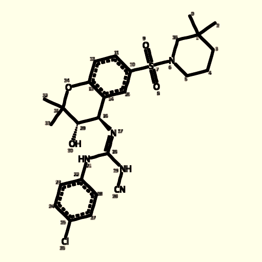 CC1(C)CCCN(S(=O)(=O)c2ccc3c(c2)[C@@H](N=C(NC#N)Nc2ccc(Cl)cc2)[C@H](O)C(C)(C)O3)C1